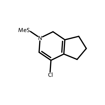 CSN1C=C(Cl)C2=C(CCC2)C1